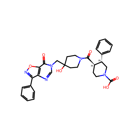 O=C(O)N1CC[C@@H](C(=O)N2CCC(O)(Cn3cnc4c(-c5ccccc5)noc4c3=O)CC2)[C@H](c2ccccc2)C1